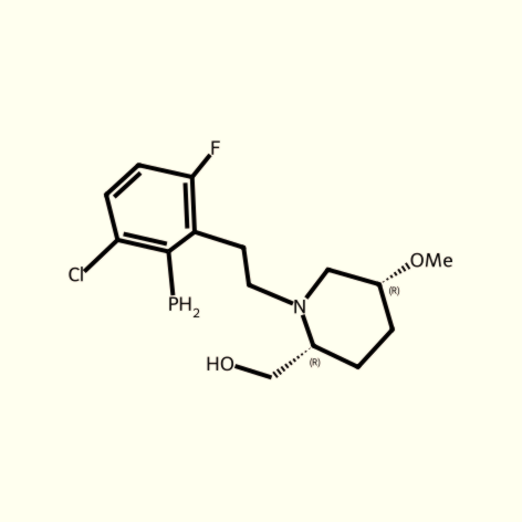 CO[C@@H]1CC[C@H](CO)N(CCc2c(F)ccc(Cl)c2P)C1